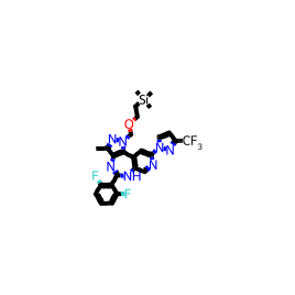 Cc1nn(COCC[Si](C)(C)C)c2c1N=C(c1c(F)cccc1F)Nc1cnc(-n3ccc(C(F)(F)F)n3)cc1-2